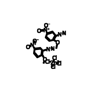 COc1ccc([N+](=O)[O-])cc1[N+]#N.COc1ccc([N+](=O)[O-])cc1[N+]#N.[Cl][Zn-2]([Cl])([Cl])[Cl]